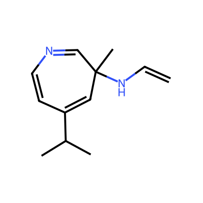 C=CNC1(C)C=NC=CC(C(C)C)=C1